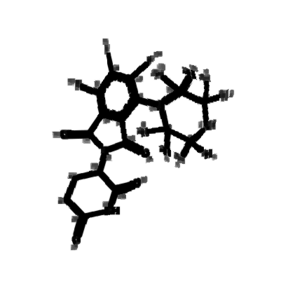 [2H]C1([2H])NC([2H])([2H])C([2H])([2H])N(c2c(F)c(F)c(F)c3c2C(=O)N(C2CCC(=O)NC2=O)C3=O)C1([2H])[2H]